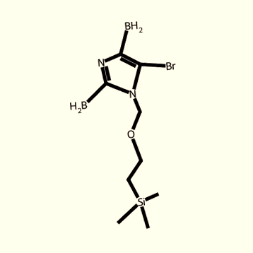 Bc1nc(B)n(COCC[Si](C)(C)C)c1Br